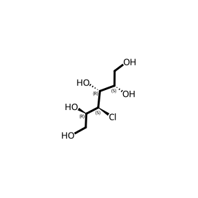 OC[C@@H](O)[C@H](Cl)[C@H](O)[C@@H](O)CO